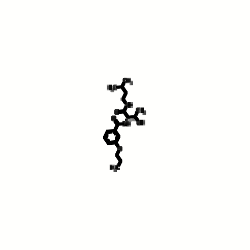 CCCOc1cccc(C(=O)N[C@H](C(=O)N[CH]CC(C)C)[C@@H](C)O)c1